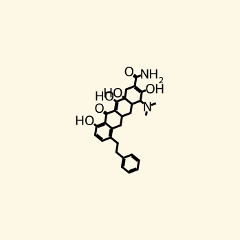 CN(C)C1C(O)=C(C(N)=O)CC2(O)C(O)=C3C(=O)c4c(O)ccc(CCc5ccccc5)c4CC3CC12